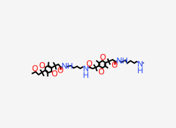 CNCCCCCCNC(=O)CC(C)(C)C1=C(C)C(=O)C(C(C)(C)CC(=O)NCCCCCCNC(=O)CC(C)(C)C2=C(C)C(=O)C(C(C)(C)CC(C)=O)=C(C)C2=O)=C(C)C1=O